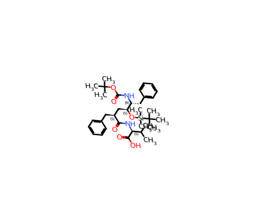 CC(C)[C@H](NC(=O)[C@@H](Cc1ccccc1)C[C@H](O[Si](C)(C)C(C)(C)C)[C@@H](Cc1ccccc1)NC(=O)OC(C)(C)C)C(=O)O